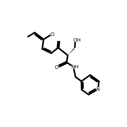 C=C(/C=C\C(Cl)=C/C)[C@H](CO)C(=O)NCc1ccncc1